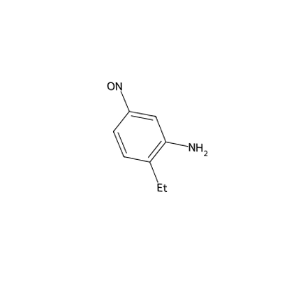 CCc1ccc(N=O)cc1N